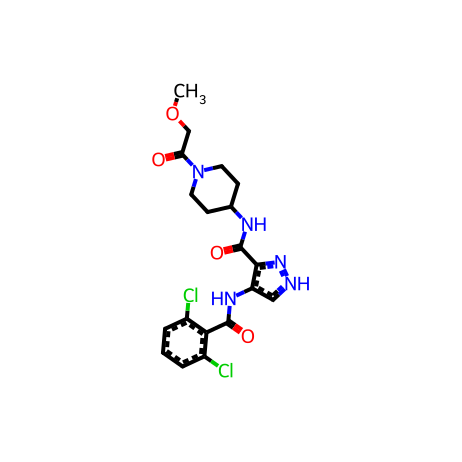 COCC(=O)N1CCC(NC(=O)c2n[nH]cc2NC(=O)c2c(Cl)cccc2Cl)CC1